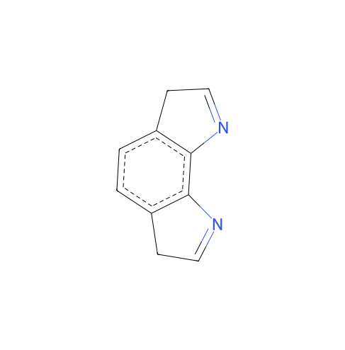 C1=Nc2c(ccc3c2N=CC3)C1